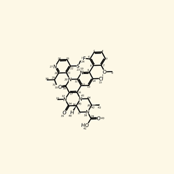 COc1cccc(F)c1-c1nc2c(cc1Cl)c1c(c(=O)n2-c2c(SC)ccnc2C(C)C)N(C)C(=O)[C@H]2CN(C(=O)O)[C@H](C)CN12